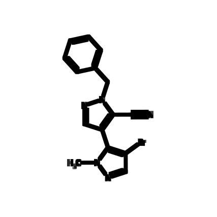 Cn1ncc(Br)c1-c1cnn(Cc2ccccc2)c1C#N